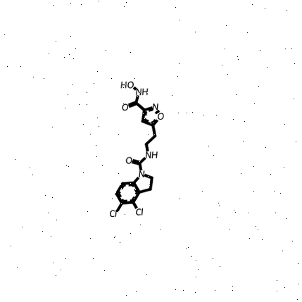 O=C(NO)c1cc(CCNC(=O)N2CCc3c2ccc(Cl)c3Cl)on1